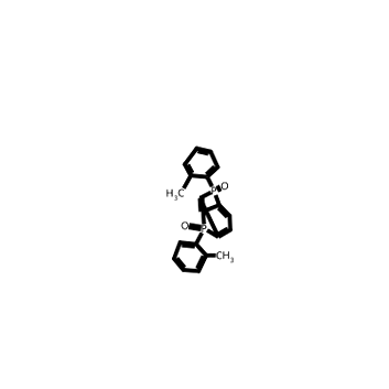 Cc1ccccc1P1(=O)C2=CC=C3C1=C2P3(=O)c1ccccc1C